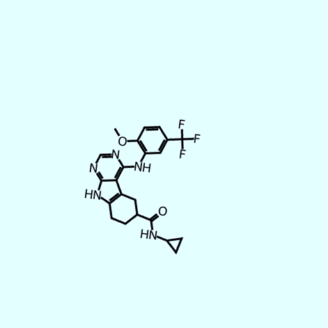 COc1ccc(C(F)(F)F)cc1Nc1ncnc2[nH]c3c(c12)CC(C(=O)NC1CC1)CC3